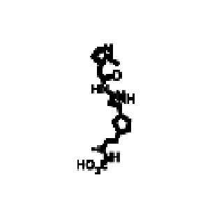 C[C@@H](CCC1CCC(c2cc(NC(=O)Cc3ccnn3C)n[nH]2)C1)NC(=O)O